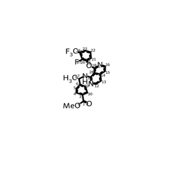 COC(=O)c1ccc([C@H](C)Nc2nccc3ccnc(Oc4cccc(C(F)(F)F)c4F)c23)cc1